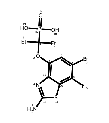 CCC(CC)(Oc1cc(Br)c(F)c2sc(N)nc12)P(=O)(O)O